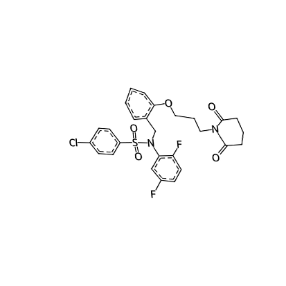 O=C1CCCC(=O)N1CCCOc1ccccc1CN(c1cc(F)ccc1F)S(=O)(=O)c1ccc(Cl)cc1